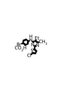 CCc1c(C)nc(-c2ccc(Cl)s2)nc1Nc1ccc(Br)c(C(=O)O)c1